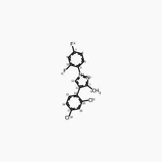 Cc1nn(-c2ccc(F)cc2F)[c]c1-c1ccc(Cl)cc1Cl